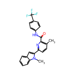 Cc1ccc(-c2cc3ccccc3n2C)nc1C(=O)Nc1ccc(C(F)(F)F)cc1